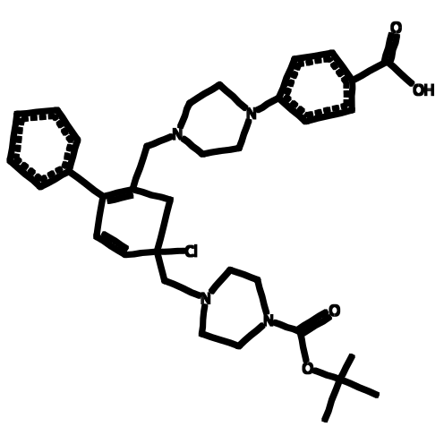 CC(C)(C)OC(=O)N1CCN(CC2(Cl)C=CC(c3ccccc3)=C(CN3CCN(c4ccc(C(=O)O)cc4)CC3)C2)CC1